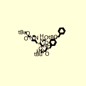 CC(C)(C)NC(=O)[C@H](Cc1ccc(OCc2ccccc2)cc1)NC(=O)[C@H](Cc1cn(C(=O)OC(C)(C)C)cn1)NC(=O)OC(C)(C)C